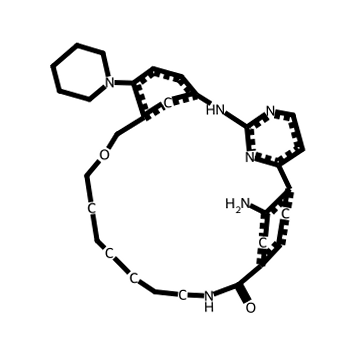 Nc1cc2ccc1-c1ccnc(n1)Nc1ccc(N3CCCCC3)c(c1)COCCCCCCCNC2=O